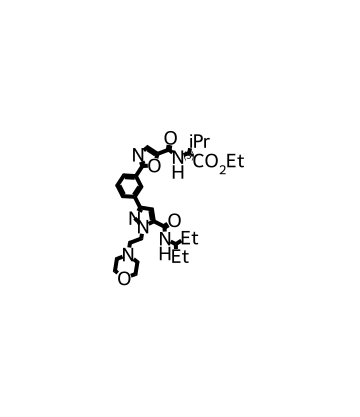 CCOC(=O)[C@@H](NC(=O)c1cnc(-c2cccc(-c3cc(C(=O)NC(CC)CC)n(CCN4CCOCC4)n3)c2)o1)C(C)C